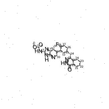 COC(=O)Nc1nc2c(C)c(-c3cc(Cc4n[nH]c(=O)c5ccccc45)ccc3F)cnc2[nH]1